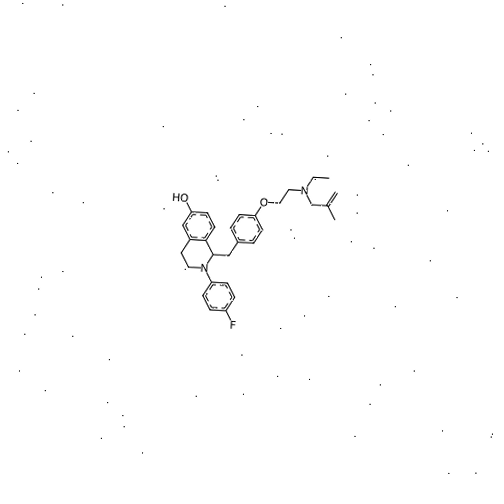 C=C(C)CN(CC)CCOc1ccc(CC2c3ccc(O)cc3CCN2c2ccc(F)cc2)cc1